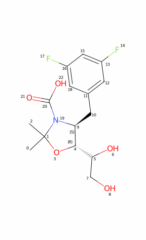 CC1(C)O[C@@H](C(O)CO)[C@H](Cc2cc(F)cc(F)c2)N1C(=O)O